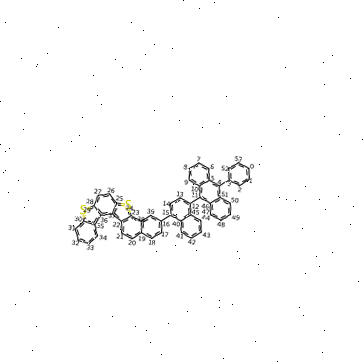 c1ccc(-c2c3ccccc3c(-c3ccc(-c4ccc5ccc6c(sc7ccc8sc9ccccc9c8c76)c5c4)c4ccccc34)c3ccccc23)cc1